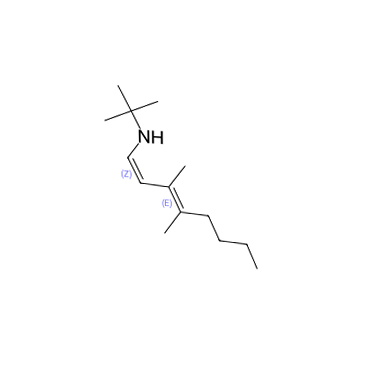 CCCC/C(C)=C(C)/C=C\NC(C)(C)C